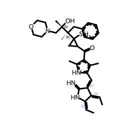 C/C=C1C(=C/c2[nH]c(C)c(C(=O)C3CC3([SiH3])[C@](C)(Cc3ccccc3)[C@@](C)(O)CN3CCOCC3)c2C)/C(=N)NC/1=C/C